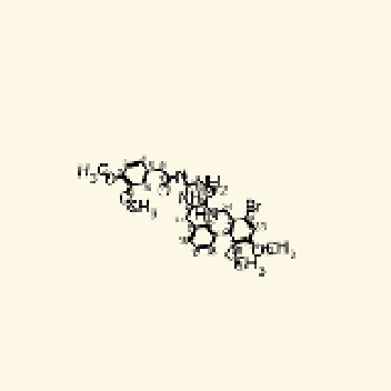 COc1ccc(CC(=O)N=C(N)NC(Cc2ccccc2)C(=O)NCc2cc(OC)c(OC)cc2Br)cc1OC